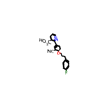 N#Cc1cc(-c2ncccc2C(=O)O)ccc1OCCCc1ccc(F)cc1